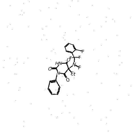 CCC1(N(F)C(F)(F)c2ccccc2F)C(=O)NC(=O)N(c2ccccc2)C1=O